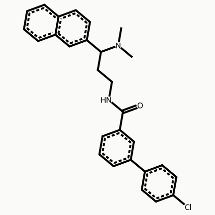 CN(C)C(CCNC(=O)c1cccc(-c2ccc(Cl)cc2)c1)c1ccc2ccccc2c1